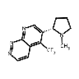 CN1CCC[C@H]1c1cnc2nnccc2c1C(F)(F)F